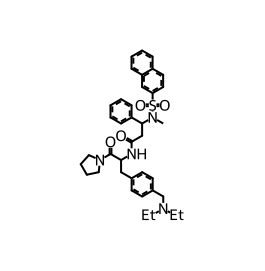 CCN(CC)Cc1ccc(CC(NC(=O)CC(c2ccccc2)N(C)S(=O)(=O)c2ccc3ccccc3c2)C(=O)N2CCCC2)cc1